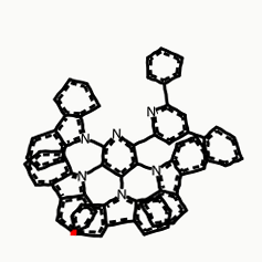 c1ccc(-c2cc(-c3ccccc3)nc(-c3nc(-n4c5ccccc5c5ccccc54)c(-n4c5ccccc5c5ccccc54)c(-n4c5ccccc5c5ccccc54)c3-n3c4ccccc4c4ccccc43)c2)cc1